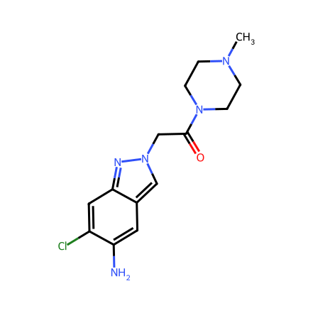 CN1CCN(C(=O)Cn2cc3cc(N)c(Cl)cc3n2)CC1